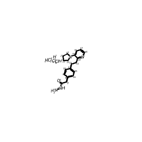 Cl.Cl.Cl.NNC(=O)Cc1ccc(CCc2ncccc2N2CCCC2)cc1